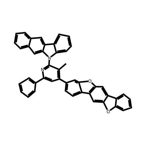 Cc1c(-c2ccc3c(c2)oc2cc4c(cc23)oc2ccccc24)cc(-c2ccccc2)nc1-n1c2ccccc2c2cc3ccccc3cc21